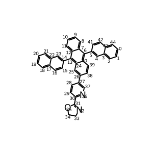 c1ccc2cc(-c3c4ccccc4c(-c4ccc5ccccc5c4)c4cc(-c5ccc(C6=NCCO6)nc5)ccc34)ccc2c1